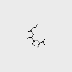 CCCN(C)CC(=O)N(CC)CC(=O)N(C)C